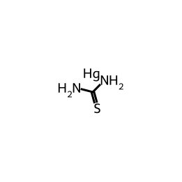 NC(N)=S.[Hg]